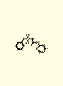 O=S(=O)(Cc1ccccc1)NC(=S)Nc1ncncn1